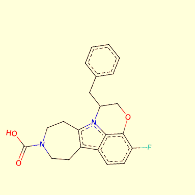 O=C(O)N1CCc2c(n3c4c(c(F)ccc24)OCC3Cc2ccccc2)CC1